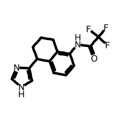 O=C(Nc1cccc2c1CCCC2c1c[nH]cn1)C(F)(F)F